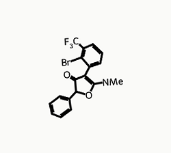 CNC1=C(c2cccc(C(F)(F)F)c2Br)C(=O)C(c2ccccc2)O1